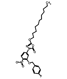 CCCCCCCCCCCCOc1nn(-c2ccc([N+](=O)[O-])c(OCc3ccc(F)cc3)c2)c(=O)o1